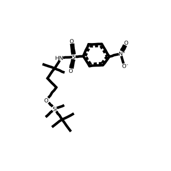 CC(C)(CCO[Si](C)(C)C(C)(C)C)NS(=O)(=O)c1ccc([N+](=O)[O-])cc1